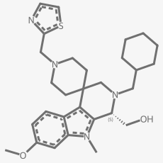 COc1ccc2c3c(n(C)c2c1)[C@@H](CO)N(CC1CCCCC1)CC31CCN(Cc2nccs2)CC1